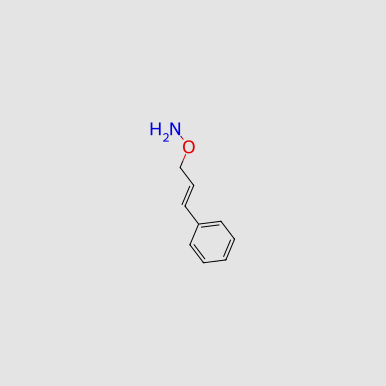 NOCC=Cc1ccccc1